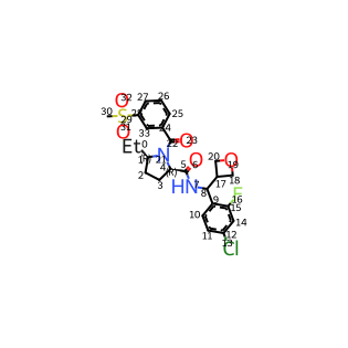 CC[C@@H]1CC[C@H](C(=O)NC(c2ccc(Cl)cc2F)C2COC2)N1C(=O)c1cccc(S(C)(=O)=O)c1